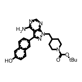 CC(C)(C)OC(=O)N1CCC(Cn2nc(-c3ccc4cc(O)ccc4c3)c3c(N)ncnc32)CC1